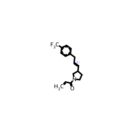 C=CC(=O)N1CCC(/C=C/Cc2ccc(C(F)(F)F)cc2)C1